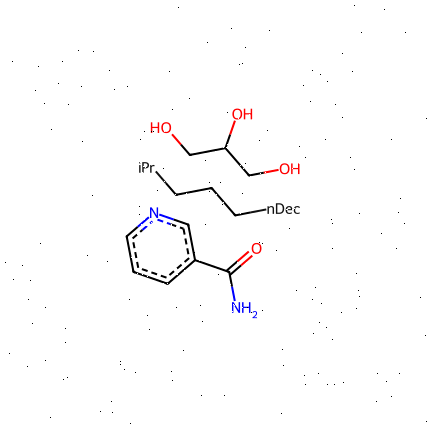 CCCCCCCCCCCCCC(C)C.NC(=O)c1cccnc1.OCC(O)CO